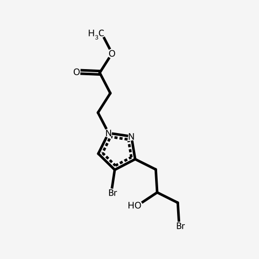 COC(=O)CCn1cc(Br)c(CC(O)CBr)n1